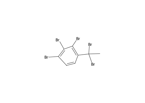 CC(Br)(Br)c1ccc(Br)c(Br)c1Br